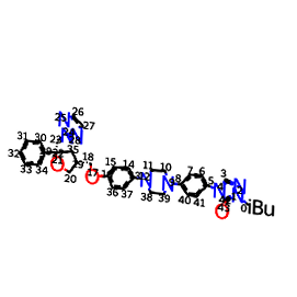 CCC(C)n1ncn(-c2ccc(N3CCN(c4ccc(OC[C@@H]5CO[C@@](Cn6nccn6)(c6ccccc6)C5)cc4)CC3)cc2)c1=O